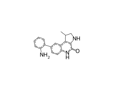 CC1CNc2c1c1cc(-c3ccccc3N)ccc1[nH]c2=O